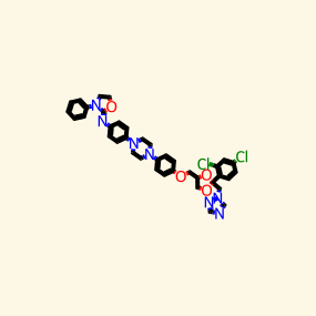 Clc1ccc(C2(Cn3cncn3)OCC(COc3ccc(N4CCN(c5ccc(N=C6OCCN6c6ccccc6)cc5)CC4)cc3)O2)c(Cl)c1